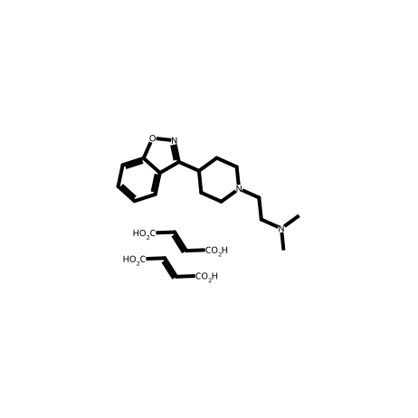 CN(C)CCN1CCC(c2noc3ccccc23)CC1.O=C(O)C=CC(=O)O.O=C(O)C=CC(=O)O